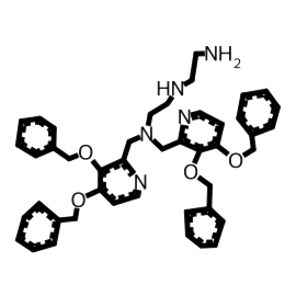 NCCNCCN(Cc1nccc(OCc2ccccc2)c1OCc1ccccc1)Cc1nccc(OCc2ccccc2)c1OCc1ccccc1